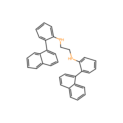 c1ccc(-c2cccc3ccccc23)c(PCCPc2ccccc2-c2cccc3ccccc23)c1